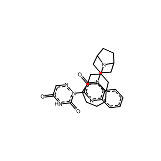 O=c1cnn(-c2nc3ccccc3n(C3CC4CCC(C3)N4C3CC4CCCCC(C4)C3)c2=O)c(=O)[nH]1